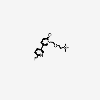 C[Si](C)(C)CCOCn1cc(-c2ccc(F)nc2)ccc1=O